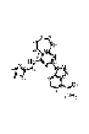 NC(=O)c1cccc2c1cnn2-c1nc2c(c(NCc3cccs3)n1)CCCCN2